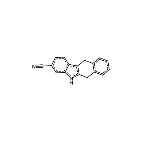 N#Cc1ccc2c3c([nH]c2c1)Cc1ccccc1C3